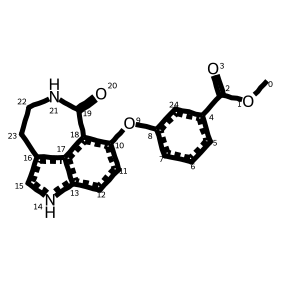 COC(=O)c1cccc(Oc2ccc3[nH]cc4c3c2C(=O)NCC4)c1